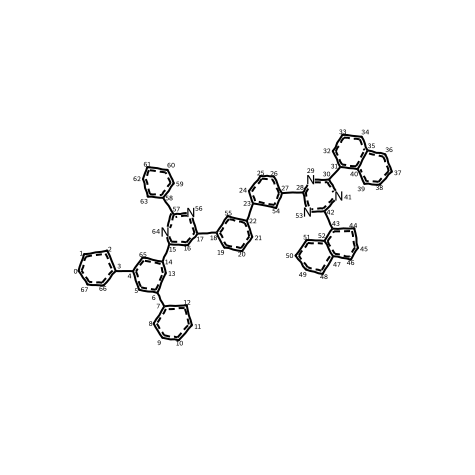 c1ccc(-c2cc(-c3ccccc3)cc(-c3cc(-c4cccc(-c5cccc(-c6nc(-c7cccc8ccccc78)nc(-c7cccc8ccccc78)n6)c5)c4)nc(-c4ccccc4)n3)c2)cc1